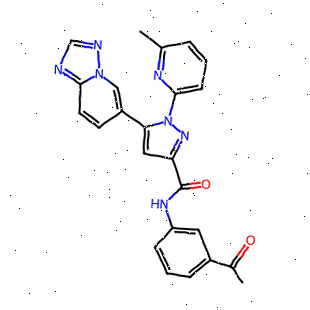 CC(=O)c1cccc(NC(=O)c2cc(-c3ccc4ncnn4c3)n(-c3cccc(C)n3)n2)c1